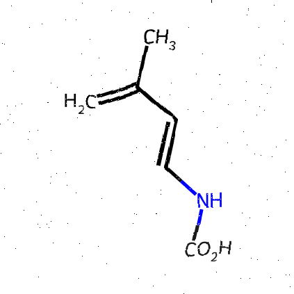 C=C(C)/C=C/NC(=O)O